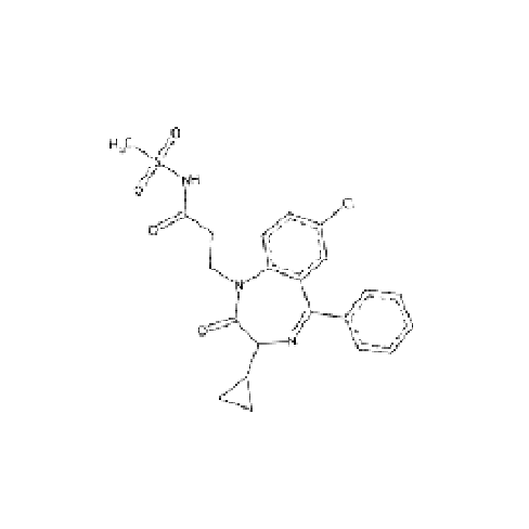 CS(=O)(=O)NC(=O)CCN1C(=O)C(C2CC2)N=C(c2ccccc2)c2cc(Cl)ccc21